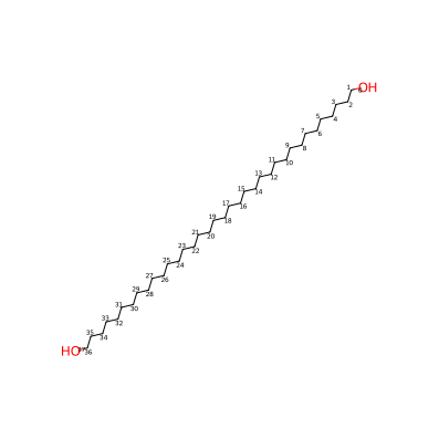 OCCCCCCCCCCCCCCCCCCCCCCCCCCCCCCCCCCCCO